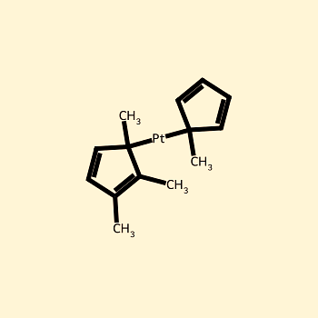 CC1=C(C)[C](C)([Pt][C]2(C)C=CC=C2)C=C1